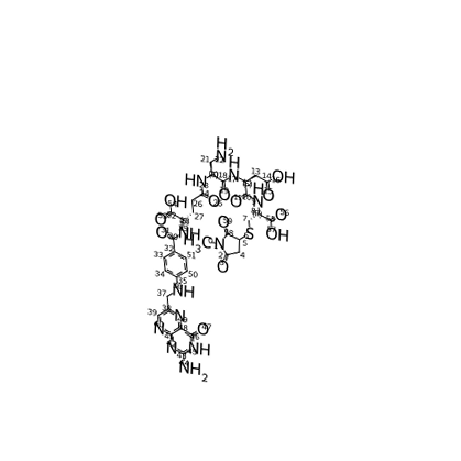 CN1C(=O)CC(SC[C@H](NC(=O)[C@H](CC(=O)O)NC(=O)[C@H](CN)NC(=O)CC[C@H](NC(=O)c2ccc(NCc3cnc4nc(N)[nH]c(=O)c4n3)cc2)C(=O)O)C(=O)O)C1=O